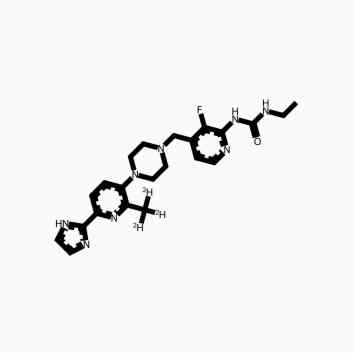 [2H]C([2H])([2H])c1nc(-c2ncc[nH]2)ccc1N1CCN(Cc2ccnc(NC(=O)NCC)c2F)CC1